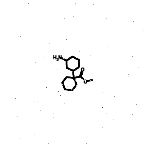 COC(=O)C1(C2CCCC(N)C2)CCCCC1